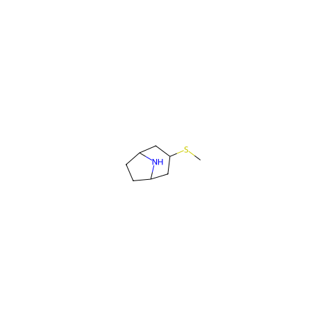 CSC1CC2CCC(C1)N2